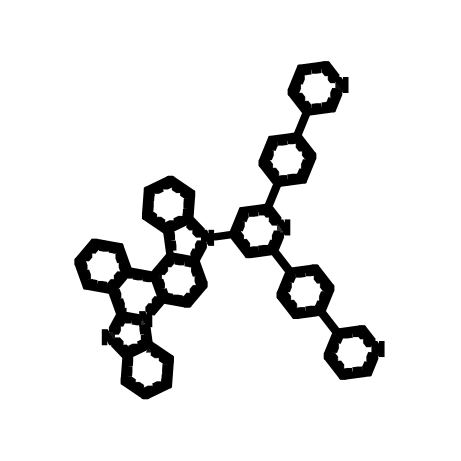 c1cncc(-c2ccc(-c3cc(-n4c5ccccc5c5c6c7ccccc7c7nc8ccccc8n7c6ccc54)cc(-c4ccc(-c5cccnc5)cc4)n3)cc2)c1